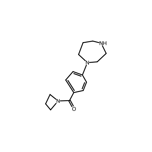 O=C(c1ccc(N2CCCNCC2)cc1)N1CCC1